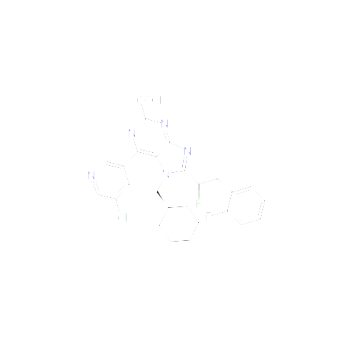 C[C@H]1CC[C@H](Cn2c(C(F)Cc3ccccc3F)nc3nc(C(=O)O)nc(-c4cncc(Cl)c4)c32)CC1